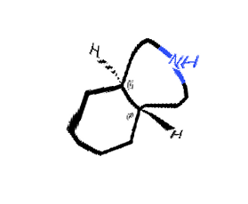 C1CC[C@H]2CNC[C@@H]2C1